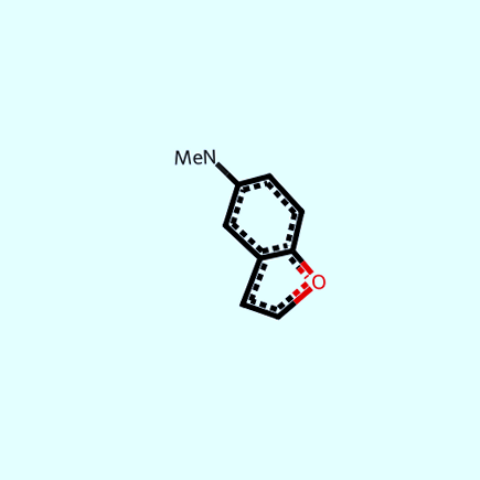 [CH2]Nc1ccc2occc2c1